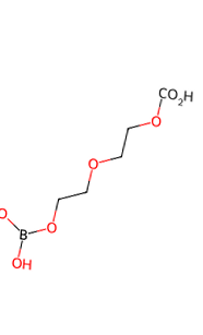 O=C(O)OCCOCCOB(O)O